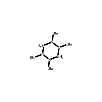 CC(C)(C)N1[SiH2]N(C(C)(C)C)N(C(C)(C)C)[SiH2]N1C(C)(C)C